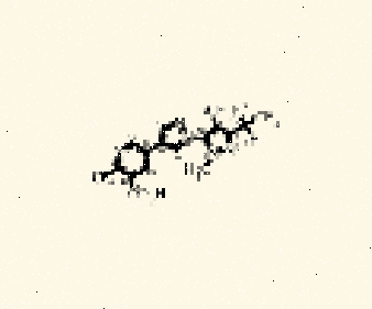 Cn1nc(C(F)(F)C(F)(F)F)c(C(F)(F)F)c1-n1cc(-c2cnc(Cl)c(C(=O)O)c2)cn1